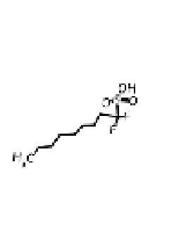 CCCCCCCCC(F)(F)S(=O)(=O)O